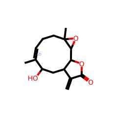 C=C1C(=O)OC2C1CC(O)/C(C)=C\CCC1(C)OC21